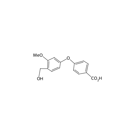 COc1cc(Oc2ccc(C(=O)O)cc2)ccc1CO